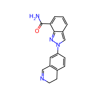 NC(=O)c1cccc2cn(-c3ccc4c(c3)C=NCC4)nc12